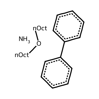 CCCCCCCCOCCCCCCCC.N.c1ccc(-c2ccccc2)cc1